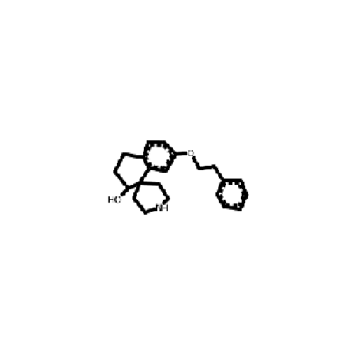 OC1CCc2ccc(OCCc3ccccc3)cc2C12CCNCC2